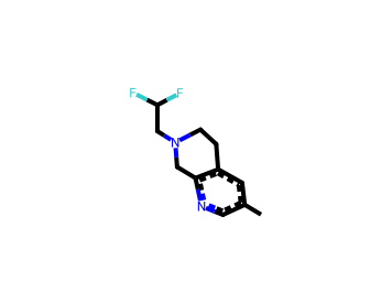 Cc1cnc2c(c1)CCN(CC(F)F)C2